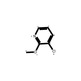 COc1n[c]ccc1Cl